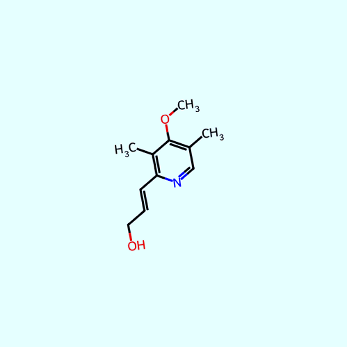 COc1c(C)cnc(/C=C/CO)c1C